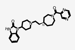 O=C(c1cnccn1)N1CCC[C@@H](CCN2CCC(n3c(=O)[nH]c4ccccc43)CC2)CC1